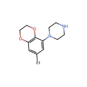 CCc1cc2c(c(N3CCNCC3)c1)OCCO2